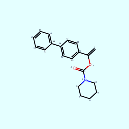 C=C(OC(=O)N1CCCCC1)c1ccc(-c2ccccc2)cc1